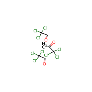 CC(=O)C(Cl)(Cl)Cl.O=CC(Cl)(Cl)Cl.O=CC(Cl)(Cl)Cl